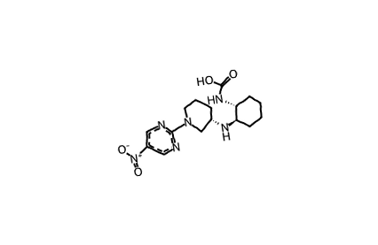 O=C(O)N[C@@H]1CCCC[C@H]1N[C@H]1CCCN(c2ncc([N+](=O)[O-])cn2)C1